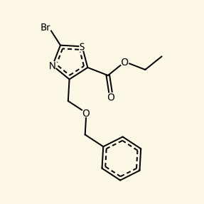 CCOC(=O)c1sc(Br)nc1COCc1ccccc1